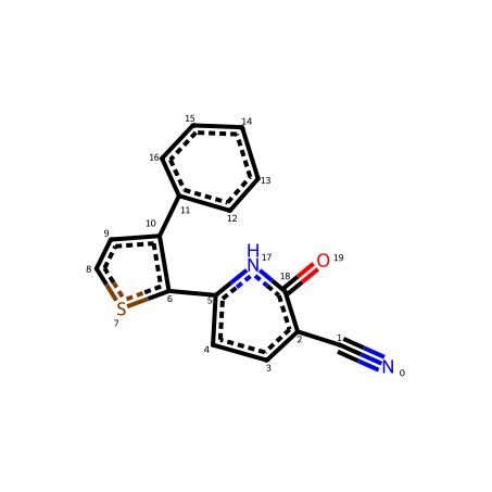 N#Cc1ccc(-c2sccc2-c2ccccc2)[nH]c1=O